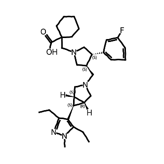 CCc1nn(C)c(CC)c1[C@H]1[C@@H]2CN(C[C@H]3CN(CC4(C(=O)O)CCCCC4)C[C@@H]3c3cccc(F)c3)C[C@@H]21